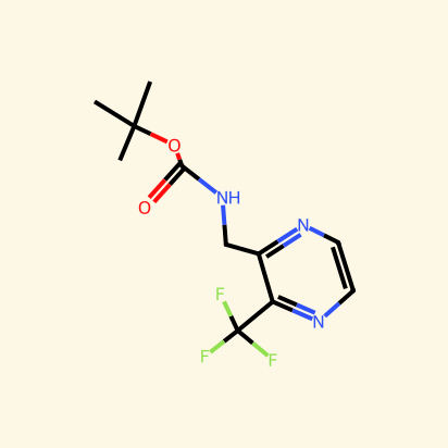 CC(C)(C)OC(=O)NCc1nccnc1C(F)(F)F